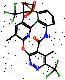 Cc1cc(C2(C(F)(F)F)CCC2)c(F)nc1Oc1nnc(C(F)(F)F)c(C)c1C(=O)Nc1cccc(S(C)(=O)=O)c1